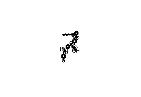 CCCCCCCOc1ccccc1C(=O)OC1=CC=C(CN(CC(=O)O)C(=O)c2ccc(NC(=O)Cc3ccc(OC)cc3)cc2)CC1C